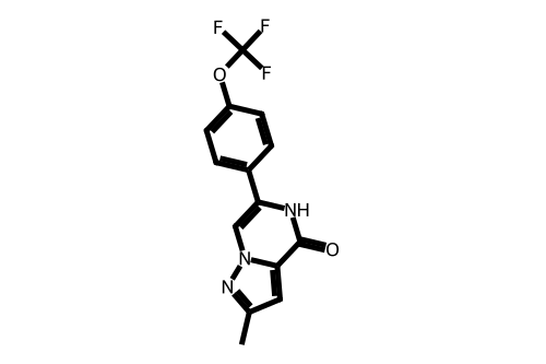 Cc1cc2c(=O)[nH]c(-c3ccc(OC(F)(F)F)cc3)cn2n1